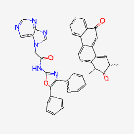 CC1C=c2c(ccc3c2=CC(=O)c2ccccc2-3)C(C)C1=O.O=C(Cn1cnc2ncncc21)Nc1nc(-c2ccccc2)c(-c2ccccc2)o1